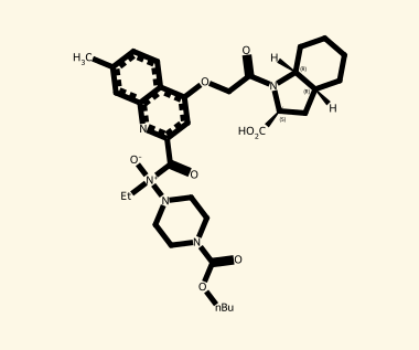 CCCCOC(=O)N1CCN([N+]([O-])(CC)C(=O)c2cc(OCC(=O)N3[C@@H]4CCCC[C@@H]4C[C@H]3C(=O)O)c3ccc(C)cc3n2)CC1